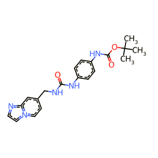 CC(C)(C)OC(=O)Nc1ccc(NC(=O)NCc2ccn3ccnc3c2)cc1